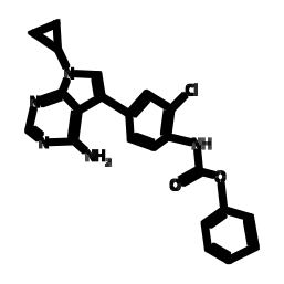 Nc1ncnc2c1c(-c1ccc(NC(=O)Oc3ccccc3)c(Cl)c1)cn2C1CC1